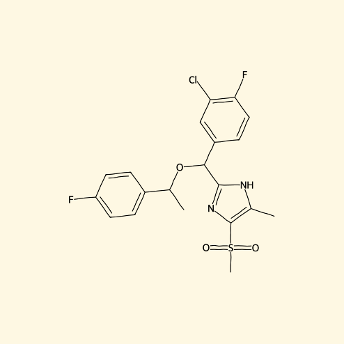 Cc1[nH]c(C(OC(C)c2ccc(F)cc2)c2ccc(F)c(Cl)c2)nc1S(C)(=O)=O